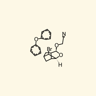 N#CCO[C@H]1O[C@H]2C3CC(CC31)[C@H]2Br.c1ccc(Oc2ccccc2)cc1